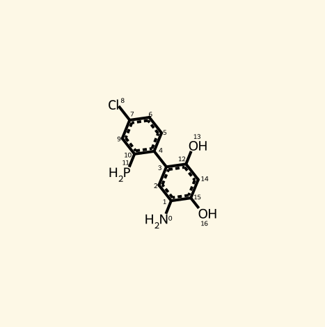 Nc1cc(-c2ccc(Cl)cc2P)c(O)cc1O